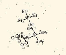 CCC[P+](CCC)(CCC)CCC.CC[P+](CC)(CC)CC.O=C[O-].O=C[O-]